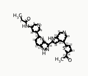 CCC(=O)Nc1cncc(-c2ccc3[nH]nc(-c4cc5c(-c6ccc(C(C)=O)s6)cncc5[nH]4)c3n2)c1